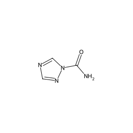 NC(=O)n1cncn1